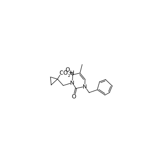 Cc1cn(Cc2ccccc2)c(=O)n(CC2(C(=O)O)CC2)c1=O